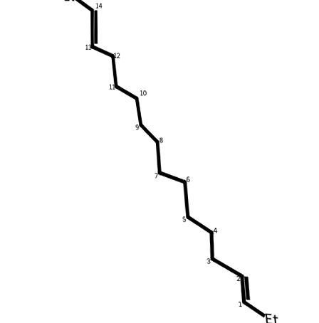 [CH2]CC=CCCCCCCCCCCC=CCC